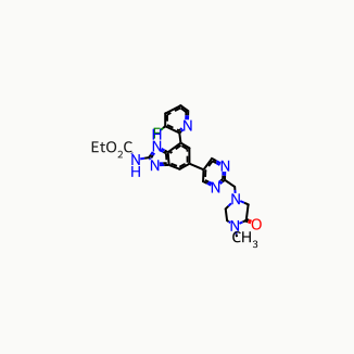 CCOC(=O)Nc1nc2cc(-c3cnc(CN4CCN(C)C(=O)C4)nc3)cc(-c3ncccc3F)c2[nH]1